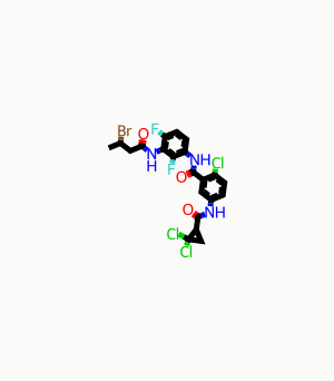 CC(Br)CC(=O)Nc1c(F)ccc(NC(=O)c2cc(NC(=O)C3CC3(Cl)Cl)ccc2Cl)c1F